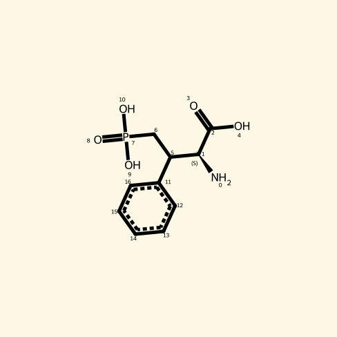 N[C@H](C(=O)O)C(CP(=O)(O)O)c1ccccc1